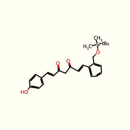 CC(C)(C)[Si](C)(C)OCc1ccccc1C=CC(=O)CC(=O)C=Cc1ccc(O)cc1